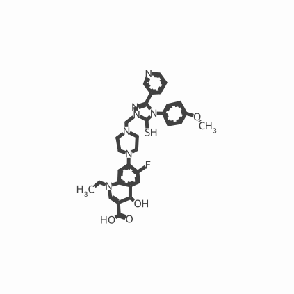 CCN1C=C(C(=O)O)C(O)c2cc(F)c(N3CCN(CN4N=C(c5cccnc5)N(c5ccc(OC)cc5)C4S)CC3)cc21